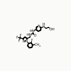 Cc1cccc(-n2nc(C(F)(F)F)cc2CNC(=O)Nc2ccc(NCCO)nc2)c1F